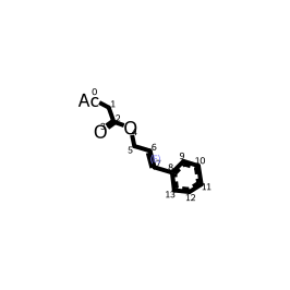 CC(=O)CC(=O)OC/C=C/c1ccccc1